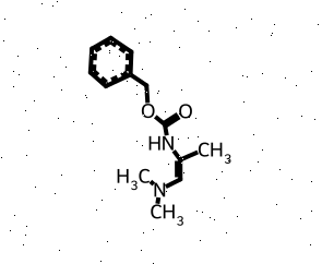 C/C(=C/N(C)C)NC(=O)OCc1ccccc1